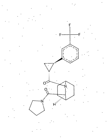 O=C([C@@H]1C2CCC(CC2)N1C(=O)[C@@H]1C[C@H]1c1cccc(C(F)(F)F)c1)N1CCCC1